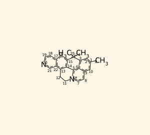 Cc1cc2c3c4[n+](ccc3c1)CCc1c-4c(cc3ccncc13)C2(C)C